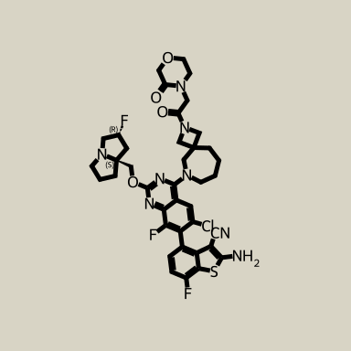 N#Cc1c(N)sc2c(F)ccc(-c3c(Cl)cc4c(N5CCCCC6(CN(C(=O)CN7CCOCC7=O)C6)C5)nc(OC[C@@]56CCCN5C[C@H](F)C6)nc4c3F)c12